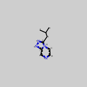 CC(C)Cc1nnc2cnccn12